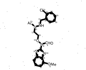 COc1cccc2sc(N(C=O)OCCN(NCc3ccccc3Cl)C(C)=O)nc12